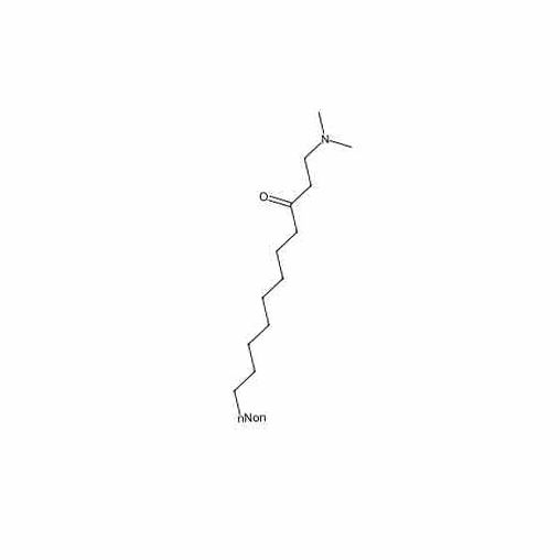 CCCCCCCCCCCCCCCCCC(=O)CCN(C)C